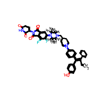 [2H]C1([2H])N(CC2CCN(c3ccc(C(=C(CC)c4ccccc4)c4ccc(O)cc4)cc3)CC2)C([2H])([2H])C([2H])([2H])N(c2cc3c(c(F)c2F)C(=O)N(C2CCC(=O)NC2=O)C3=O)C1([2H])[2H]